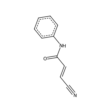 N#CC=CC(=O)Nc1ccccc1